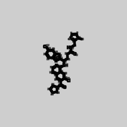 Cn1ccnc1CNC(=O)CCC(Nc1ncnc2cc(C(=O)N3CCCC3)c(Cl)cc12)c1nc2cc(Cl)ccc2[nH]1